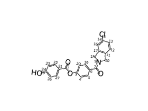 O=C(Oc1ccc(C(=O)N2Cc3ccc(Cl)cc3C2)cc1)c1ccc(O)cc1